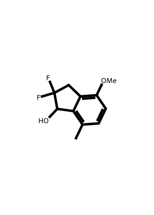 COc1ccc(C)c2c1CC(F)(F)C2O